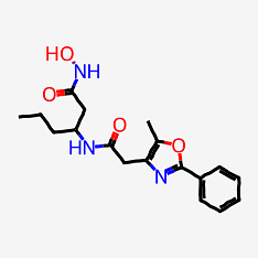 CCCC(CC(=O)NO)NC(=O)Cc1nc(-c2ccccc2)oc1C